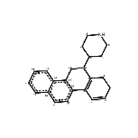 C1=CC2=C(CC1)C(C1CCNCC1)Cc1c2ccc2ccccc12